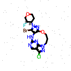 F[C@@H]1COCC[C@H]1n1nc2c(c1Br)Nc1ncc3c(Cl)nn(c3n1)CCCO2